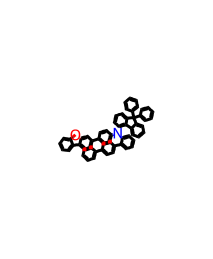 c1ccc(-c2ccc(-c3ccccc3N(c3ccc(-c4ccc5c(c4)oc4ccccc45)cc3)c3cccc4c3-c3ccccc3C4(c3ccccc3)c3ccccc3)cc2)cc1